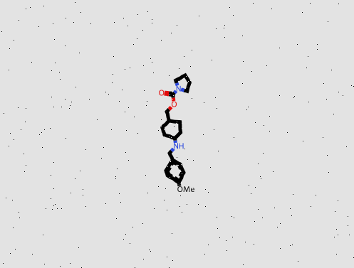 COc1ccc(CNC2CCC(COC(=O)N3CCCC3)CC2)cc1